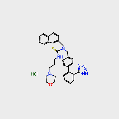 Cl.S=C(NCCCN1CCOCC1)N(Cc1ccc(-c2ccccc2-c2nnn[nH]2)cc1)Cc1ccc2ccccc2c1